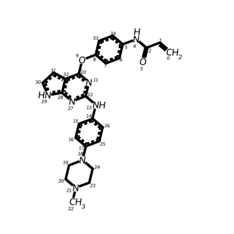 C=CC(=O)Nc1ccc(Oc2nc(Nc3ccc(N4CCN(C)CC4)cc3)nc3[nH]ccc23)cc1